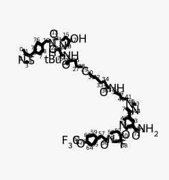 Cc1ncsc1-c1ccc(CNC(=O)[C@@H]2C[C@@H](O)CN2C(=O)[C@@H](NC(=O)CCCCCCCCCC(=O)NCCCCn2cnc(-c3cnc(O[C@@H]4CCN(C(=O)Cc5ccc(OC(F)(F)F)cc5)C[C@H]4F)c(C(N)=O)c3)c2)C(C)(C)C)cc1